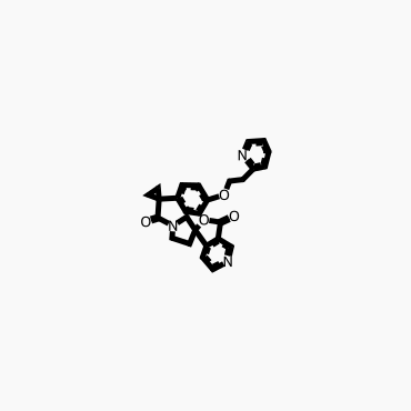 O=C1OC2(CCN(C(=O)C3(c4ccc(OCCc5ccccn5)cc4)CC3)C2)c2ccncc21